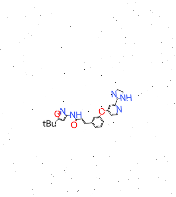 CC(C)(C)c1cc(NC(=O)C=Cc2cccc(Oc3ccnc(C4=NCCN4)c3)c2)no1